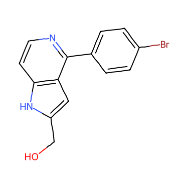 OCc1cc2c(-c3ccc(Br)cc3)nccc2[nH]1